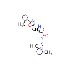 Cc1ccccc1-c1nc(CN2CCC(C(=O)NCCCN3[C@H](C)CCC[C@@H]3C)CC2)c(C)o1